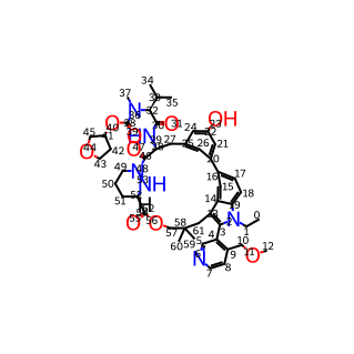 CCn1c(-c2cnccc2COC)c2c3cc(ccc31)-c1cc(O)cc(c1)C[C@H](NC(=O)[C@H](C(C)C)N(C)C(=O)O[C@@H]1CCOC1)C(=O)N1CCC[C@H](N1)C(=O)OCC(C)(C)C2